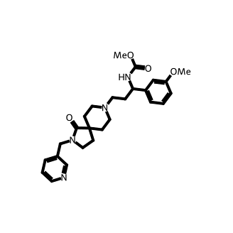 COC(=O)NC(CCN1CCC2(CC1)CCN(Cc1cccnc1)C2=O)c1cccc(OC)c1